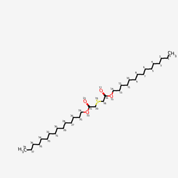 CCCCCCCCCCCCCCCOC(=O)CSCC(=O)OCCCCCCCCCCCCCCC